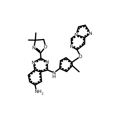 Cc1cc(Nc2nc(C3=NC(C)(C)CO3)nc3ccc(N)cc23)ccc1Oc1cc2nccn2cn1